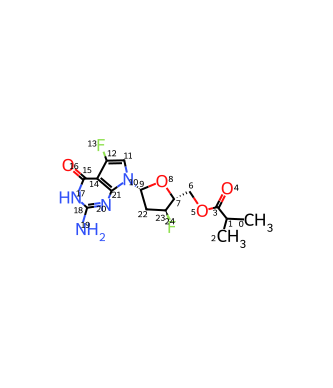 CC(C)C(=O)OC[C@H]1O[C@@H](n2cc(F)c3c(=O)[nH]c(N)nc32)C[C@@H]1F